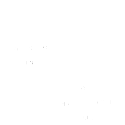 CC(C)(Oc1ccc(NS(=O)(=O)Cc2ccccc2)cc1)C(=O)O